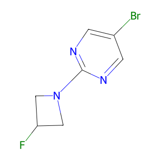 FC1CN(c2ncc(Br)cn2)C1